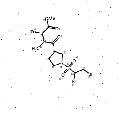 COC(=O)[C@H](C(C)C)N(C)C(=O)[C@H]1CCN(S(=O)(=O)C(Br)CBr)C1